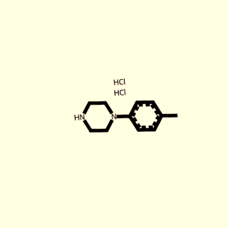 Cc1ccc(N2CCNCC2)cc1.Cl.Cl